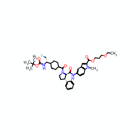 CCOCCCOC(=O)c1cc2cc(NC(=O)[C@H]3[C@H](c4ccccc4)CCN3C(=O)C3CCC([C@@H](CF)NC(=O)OC(C)(C)C)CC3)ccc2n1C